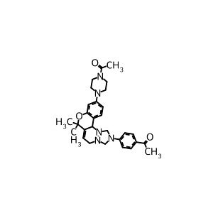 CC(=O)c1ccc(N2CN3CC=C4C(c5ccc(N6CCN(C(C)=O)CC6)cc5OC4(C)C)N3C2)cc1